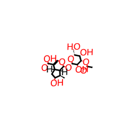 CC(=O)O[C@@H]1[C@@H](O)[C@H](O[C@@H]2OC=C(C(=O)O)[C@H]3C[C@H](O)[C@H](C)[C@@H]23)O[C@H](CO)[C@H]1O